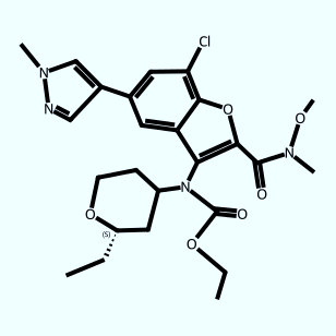 CCOC(=O)N(c1c(C(=O)N(C)OC)oc2c(Cl)cc(-c3cnn(C)c3)cc12)C1CCO[C@@H](CC)C1